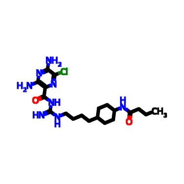 CCCC(=O)NC1CCC(CCCCNC(=N)NC(=O)c2nc(Cl)c(N)nc2N)CC1